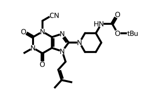 CC(C)=CCn1c(N2CCCC(NC(=O)OC(C)(C)C)C2)nc2c1c(=O)n(C)c(=O)n2CC#N